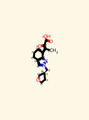 Cc1c(C(=O)O)oc2c1-c1nn(C[C@H]3CCOC3)cc1CC2